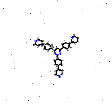 c1ccc(-c2ccc(-c3cc(-c4ccc(-c5ccncc5)cc4)nc(-c4ccc(-c5ccncc5)cc4)n3)cc2)nc1